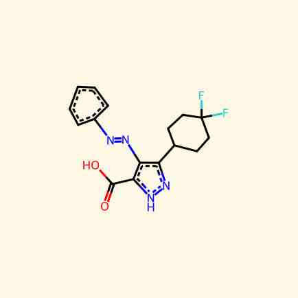 O=C(O)c1[nH]nc(C2CCC(F)(F)CC2)c1N=Nc1ccccc1